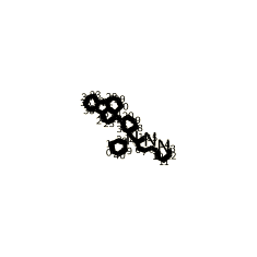 c1ccc(N(c2ccc(-c3ccccn3)nc2)c2cccc(-c3ccc4c5c(cccc35)-c3ccccc3-4)c2)cc1